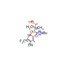 CC[C@H](C)NC(=O)[C@H](Oc1ccc(C#N)c(C(F)(F)F)c1)C(C)(C)CO